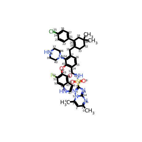 Cc1cc(C)n2nc(S(=O)(=O)NC(=O)c3ccc(CC4=C(c5ccc(Cl)cc5)CC(C)(C)CC4)c(N4CCNCC4)c3Oc3cc4cc[nH]c4cc3F)nc2n1